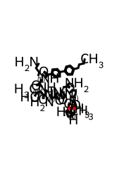 CCCCc1ccc(-c2ccc(C(=O)N[C@@H](CCCCN)C(=O)N[C@H](C(=O)N[C@@H](N)C(=O)N[C@@H](CC(N)=O)C(=O)N3CCC[C@H]3B3OC4C[C@@H]5C[C@H](C4O3)C5(C)C)[C@@H](C)O)cc2)cc1